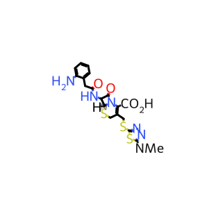 CNc1nnc(SCC2=C(C(=O)O)N3C(=O)C(NC(=O)Cc4ccccc4N)[C@H]3SC2)s1